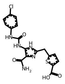 NC(=O)c1nc(Cc2ccc(C(=O)O)s2)[nH]c1NC(=O)Nc1ccc(Cl)cc1